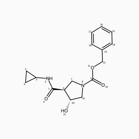 O=C(NC1CC1)[C@H]1CN(C(=O)OCc2ccccc2)C[C@@H]1O